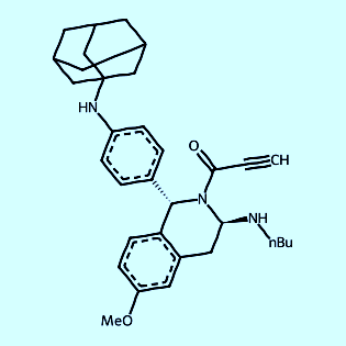 C#CC(=O)N1[C@@H](c2ccc(NC34CC5CC(CC(C5)C3)C4)cc2)c2ccc(OC)cc2C[C@@H]1NCCCC